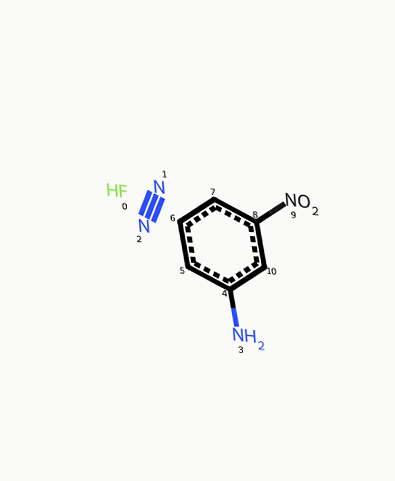 F.N#N.Nc1cccc([N+](=O)[O-])c1